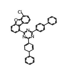 Clc1cccc2c1oc1cccc(-c3nc(C4=CCC(c5ccccc5)C=C4)nc(-c4ccc(-c5ccccc5)cc4)n3)c12